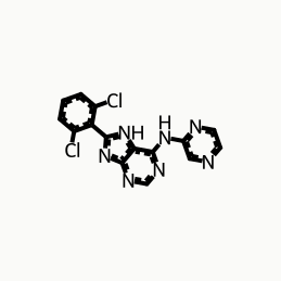 Clc1cccc(Cl)c1-c1nc2ncnc(Nc3cnccn3)c2[nH]1